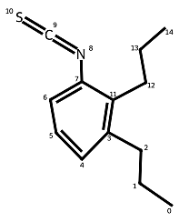 CCCc1cccc(N=C=S)c1CCC